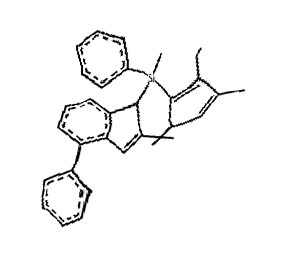 CC1=CC(C)C([Si](C)(c2ccccc2)C2C(C)=Cc3c(-c4ccccc4)cccc32)=C1C